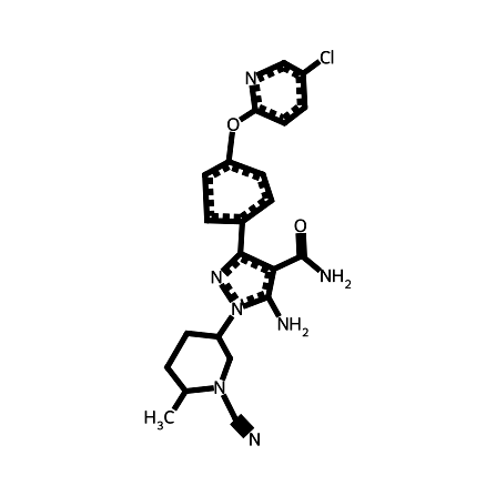 CC1CCC(n2nc(-c3ccc(Oc4ccc(Cl)cn4)cc3)c(C(N)=O)c2N)CN1C#N